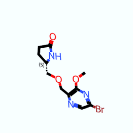 COc1nc(Br)cnc1COC[C@@H]1CCC(=O)N1